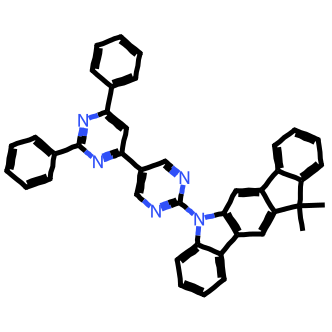 CC1(C)c2ccccc2-c2cc3c(cc21)c1ccccc1n3-c1ncc(-c2cc(-c3ccccc3)nc(-c3ccccc3)n2)cn1